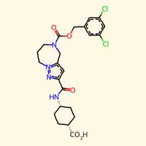 O=C(N[C@H]1CC[C@@H](C(=O)O)CC1)c1cc2n(n1)CCCN(C(=O)OCc1cc(Cl)cc(Cl)c1)C2